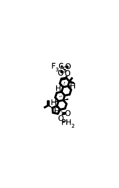 C=C(C)[C@@H]1CC[C@]2(C(=O)OP)CC[C@]3(C)[C@H](CC[C@@H]4[C@@]5(C)CC=C(OS(=O)(=O)C(F)(F)F)C(C)(C)[C@@H]5CC[C@]43C)[C@@H]12